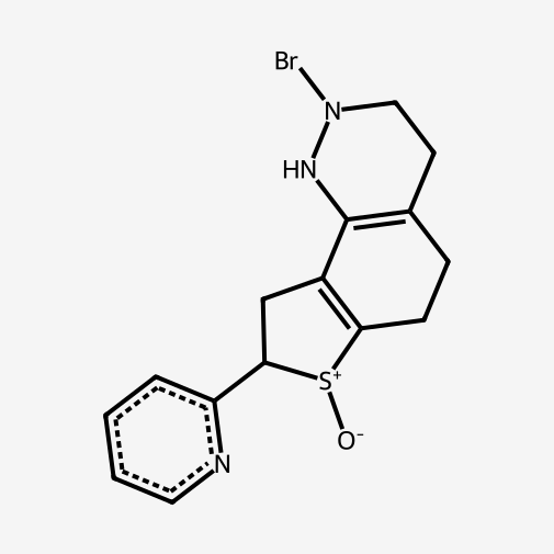 [O-][S+]1C2=C(CC1c1ccccn1)C1=C(CC2)CCN(Br)N1